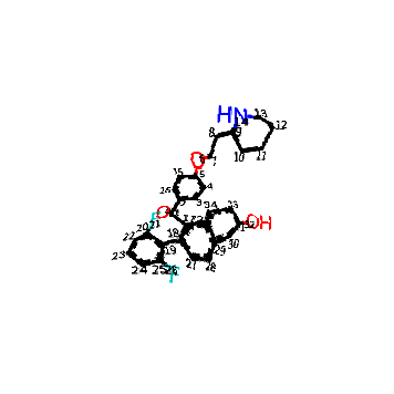 O=C(c1ccc(OCCC2CCCCN2)cc1)c1c(-c2c(F)cccc2F)ccc2cc(O)ccc12